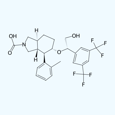 Cc1ccccc1[C@H]1[C@@H]2CN(C(=O)O)C[C@H]2CC[C@@H]1O[C@H](CO)c1cc(C(F)(F)F)cc(C(F)(F)F)c1